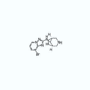 Brc1cccn2nc(N[C@@H]3[C@@H]4CC[C@H]3CNC4)nc12